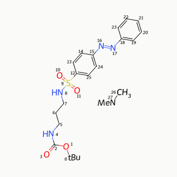 CC(C)(C)OC(=O)NCCCNS(=O)(=O)c1ccc(N=Nc2ccccc2)cc1.CNC